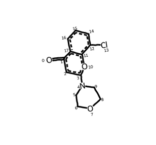 O=c1cc(N2CCOCC2)oc2c(Cl)cccc12